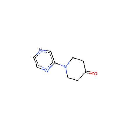 O=C1CCN(c2cn[c]cn2)CC1